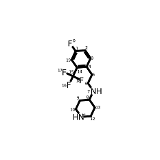 Fc1ccc(CCNC2CCNCC2)c(C(F)(F)F)c1